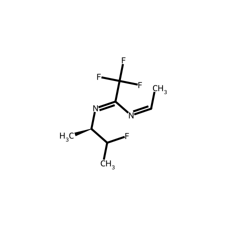 C/C=N\C(=N/[C@H](C)C(C)F)C(F)(F)F